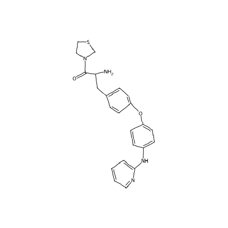 NC(Cc1ccc(Oc2ccc(Nc3ccccn3)cc2)cc1)C(=O)N1CCSC1